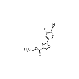 CCOC(=O)c1coc(-c2ccc(C#N)c(F)c2)n1